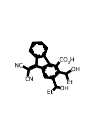 CCC(O)c1cc2c(c(C(=O)O)c1C(O)CC)-c1ccccc1C2=C(C#N)C#N